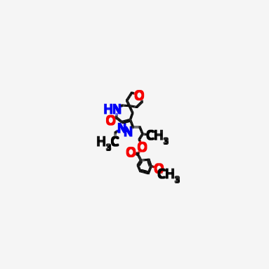 CCn1nc(CC(C)COC(=O)c2cccc(OC)c2)c2c1C(=O)NCC1(CCOCC1)C2